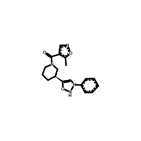 Cc1oncc1C(=O)N1CCC[C@H](C2=CN(c3ccccc3)NO2)C1